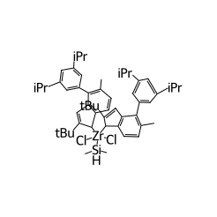 Cc1ccc2c(c1-c1cc(C(C)C)cc(C(C)C)c1)C=C(C(C)(C)C)[CH]2[Zr]([Cl])([Cl])([CH]1C(C(C)(C)C)=Cc2c1ccc(C)c2-c1cc(C(C)C)cc(C(C)C)c1)[SiH](C)C